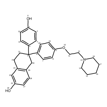 Oc1ccc(C2(c3ccc(OCCN4CCCCC4)cc3)CCc3cc(O)ccc3C2)cc1